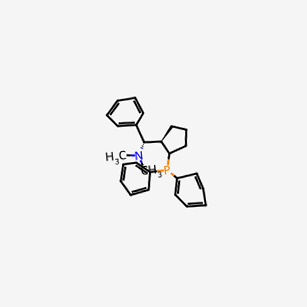 CN(C)[C@H](c1ccccc1)[C@H]1CCCC1P(c1ccccc1)c1ccccc1